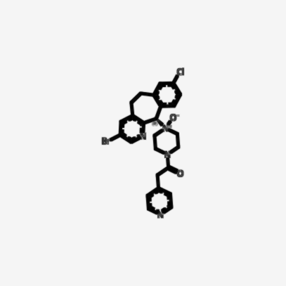 O=C(Cc1ccncc1)N1CC[N+]([O-])([C@@H]2c3ccc(Cl)cc3CCc3cc(Br)cnc32)CC1